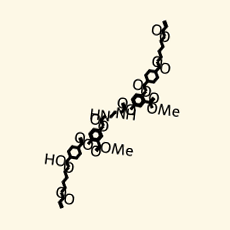 C=CC(=O)OCCCCOC(=O)C1CCC(C(=O)Oc2ccc(OC(=O)NCCNC(=O)Oc3ccc(OC(=O)C4CCC(C(O)OCCCCOC(=O)C=C)CC4)c(C(=O)OC)c3)cc2C(=O)OC)CC1